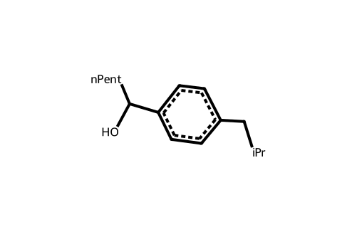 CCCCCC(O)c1ccc(CC(C)C)cc1